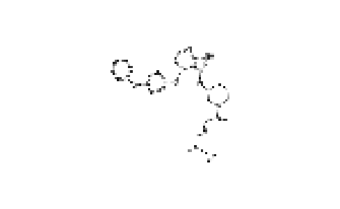 CN(CC=CC(=O)N1CCCC(Nc2n[nH]c3nccc(Oc4ccc(Oc5ccccc5)cc4)c23)C1)C1CC1